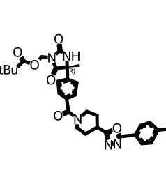 Cc1ccc(-c2nnc(C3CCN(C(=O)c4ccc([C@@]5(C)NC(=O)N(COC(=O)C(C)(C)C)C5=O)cc4)CC3)o2)cc1